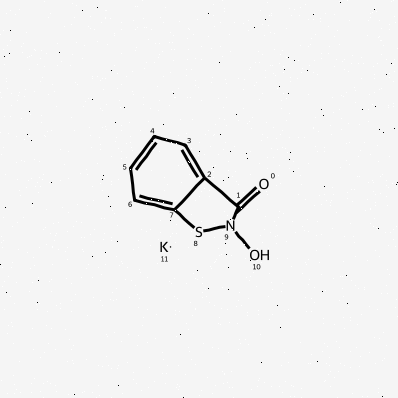 O=c1c2ccccc2sn1O.[K]